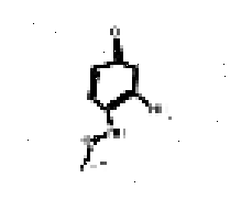 NC1=C(NNC=O)C=CC(=O)C1